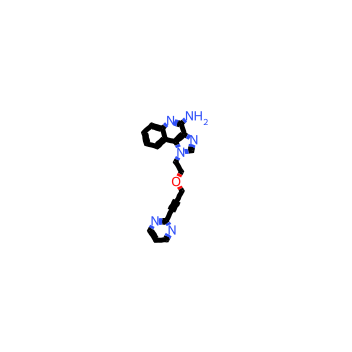 Nc1nc2ccccc2c2c1ncn2CCOCC#Cc1ncccn1